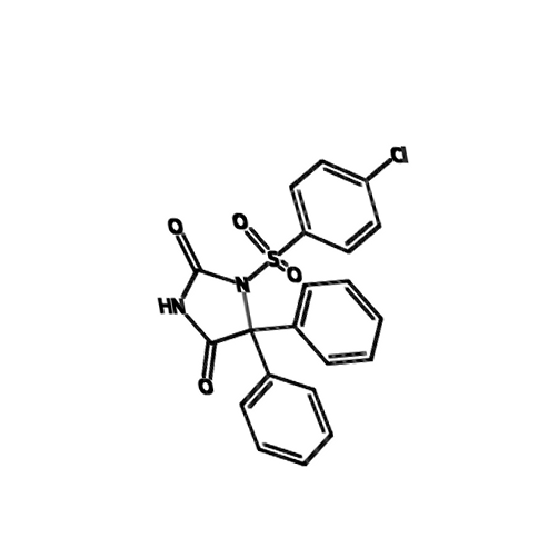 O=C1NC(=O)C(c2ccccc2)(c2ccccc2)N1S(=O)(=O)c1ccc(Cl)cc1